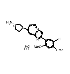 COc1cc(OC)c(-c2cn3ccc(N4CC[C@H](N)C4)cc3n2)cc1Cl.Cl.Cl